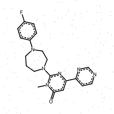 Cn1c(N2CCCN(c3ccc(F)cc3)CC2)nc(-c2ccncn2)cc1=O